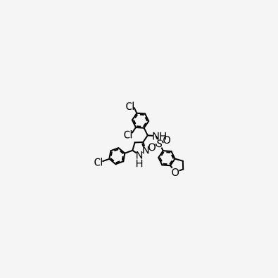 O=S(=O)(NC(C1=NNC(c2ccc(Cl)cc2)C1)c1ccc(Cl)cc1Cl)c1ccc2c(c1)CCO2